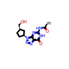 CC(C)C(=O)Nc1nc2c(nnn2[C@H]2CC[C@@H](CO)C2)c(=O)[nH]1